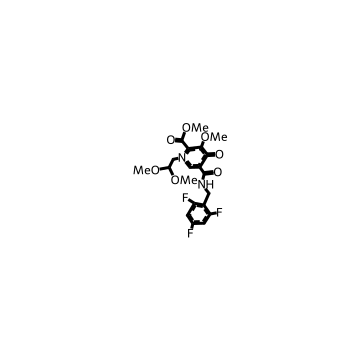 COC(=O)c1c(OC)c(=O)c(C(=O)NCc2c(F)cc(F)cc2F)cn1CC(OC)OC